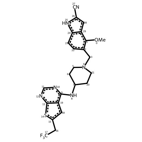 COc1c(CN2CCC(Nc3ncnc4sc(CC(F)(F)F)cc34)CC2)ccc2[nH]c(C#N)cc12